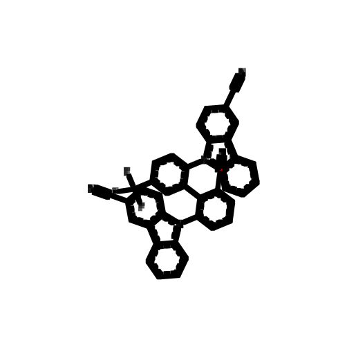 N#Cc1ccc2c(c1)c1ccccc1n2-c1ccc(C(F)(F)F)cc1-c1c(C#N)cccc1-n1c2ccccc2c2cc(C#N)ccc21